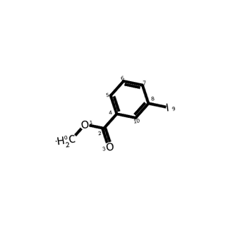 [CH2]OC(=O)c1cccc(I)c1